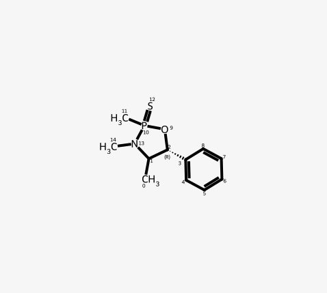 CC1[C@@H](c2ccccc2)OP(C)(=S)N1C